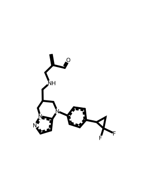 C=C(C=O)CNCC1CN(c2ccc(C3CC3(F)F)cc2)c2ccnn2C1